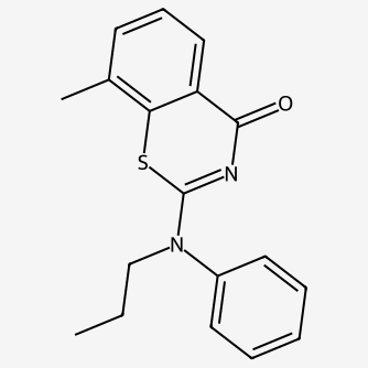 CCCN(c1ccccc1)c1nc(=O)c2cccc(C)c2s1